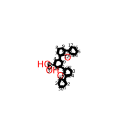 OB(O)c1cc(-c2cccc3c2oc2ccccc23)cc(-c2cccc3c2oc2ccccc23)c1